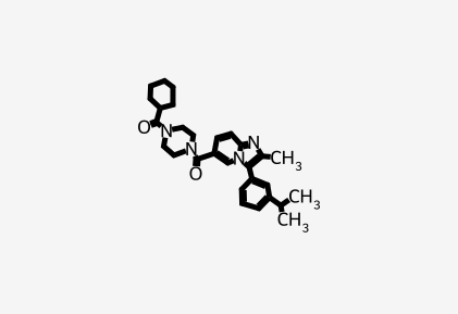 Cc1nc2ccc(C(=O)N3CCN(C(=O)C4CCCCC4)CC3)cn2c1-c1cccc(C(C)C)c1